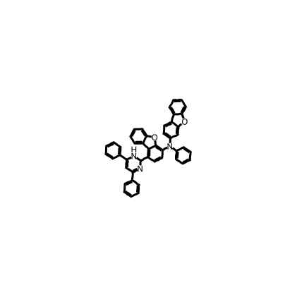 C1=C(c2ccccc2)NC(c2ccc(N(c3ccccc3)c3ccc4c(c3)oc3ccccc34)c3oc4ccccc4c23)N=C1c1ccccc1